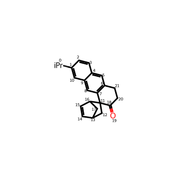 CC(C)c1ccc2cc3c(cc2c1)C1(CC2C=CC1C2)C(=O)CC3